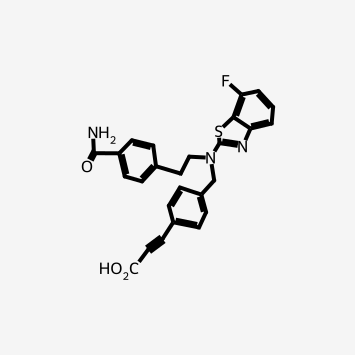 NC(=O)c1ccc(CCN(Cc2ccc(C#CC(=O)O)cc2)c2nc3cccc(F)c3s2)cc1